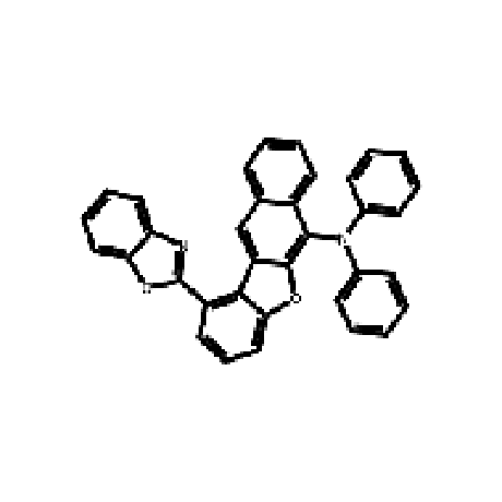 c1ccc(N(c2ccccc2)c2c3ccccc3cc3c2oc2cccc(-c4nc5ccccc5o4)c23)cc1